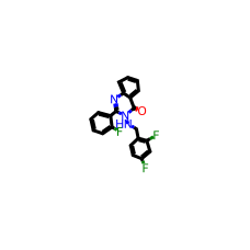 O=c1c2ccccc2nc(-c2ccccc2F)n1NCc1ccc(F)cc1F